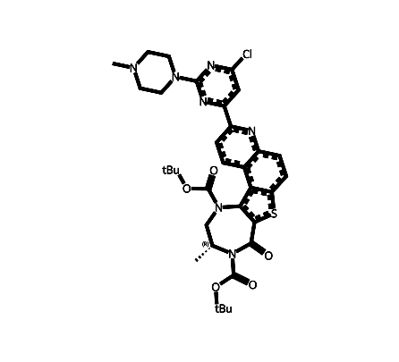 C[C@@H]1CN(C(=O)OC(C)(C)C)c2c(sc3ccc4nc(-c5cc(Cl)nc(N6CCN(C)CC6)n5)ccc4c23)C(=O)N1C(=O)OC(C)(C)C